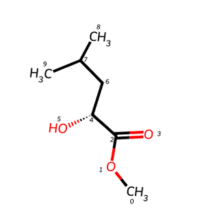 COC(=O)[C@H](O)CC(C)C